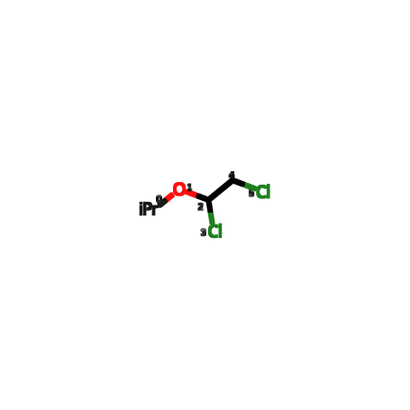 CC(C)OC(Cl)CCl